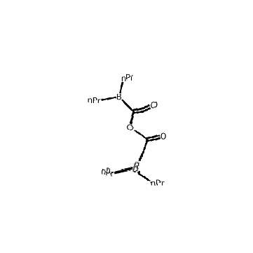 CCCB(CCC)C(=O)OC(=O)B(CCC)CCC